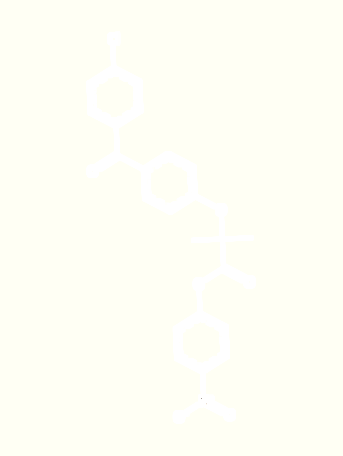 CC(C)(Oc1ccc(C(=O)c2ccc(Cl)cc2)cc1)C(=O)Oc1ccc([N+](=O)[O-])cc1